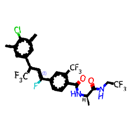 Cc1cc(C(/C=C(\F)c2ccc(C(=O)N[C@H](C)C(=O)NCC(F)(F)F)c(C(F)(F)F)c2)C(F)(F)F)cc(C)c1Cl